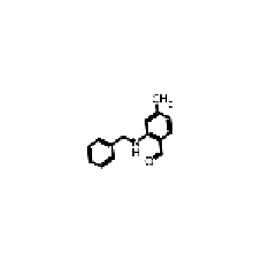 Cc1ccc(C=O)c(NCc2ccccc2)c1